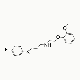 COc1ccccc1OCCNCCCSc1ccc(F)cc1